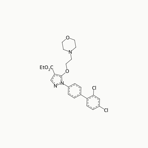 CCOC(=O)c1cnn(-c2ccc(-c3ccc(Cl)cc3Cl)cc2)c1OCCN1CCOCC1